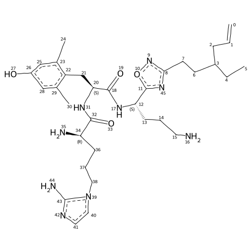 C=CCC(CC)CCc1noc([C@H](CCCN)NC(=O)[C@H](Cc2c(C)cc(O)cc2C)NC(=O)[C@H](N)CCCn2ccnc2N)n1